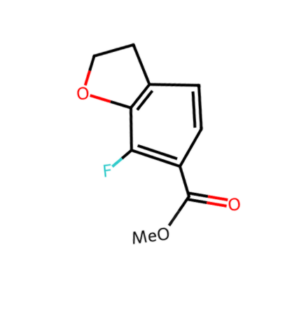 COC(=O)c1ccc2c(c1F)OCC2